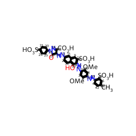 COc1cc(/N=N/c2c(S(=O)(=O)O)cc3cc(/N=N/C4C(=O)N(c5ccc(S(=O)(=O)O)cc5)N=C4C(=O)O)ccc3c2O)c(OC)cc1/N=N/c1ccc(C)cc1S(=O)(=O)O